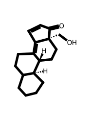 O=C1C=CC2=C3CCC4CCCC[C@@H]4[C@H]3CC[C@]12CO